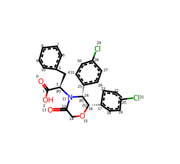 O=C(O)[C@@H](Cc1ccccc1)N1C(=O)CO[C@@H](c2ccc(Cl)cc2)[C@H]1c1ccc(Cl)cc1